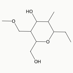 CCC1OC(CO)C(COC)C(O)C1C